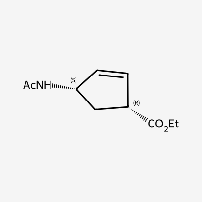 CCOC(=O)[C@H]1C=C[C@@H](NC(C)=O)C1